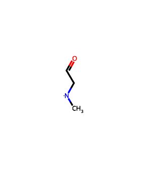 C[N]CC=O